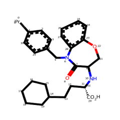 CC(C)c1ccc(CN2C(=O)C(N[C@@H](CCC3CCCCC3)C(=O)O)COc3ccccc32)cc1